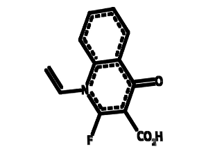 C=Cn1c(F)c(C(=O)O)c(=O)c2ccccc21